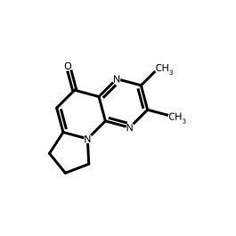 Cc1nc2c(=O)cc3n(c2nc1C)CCC3